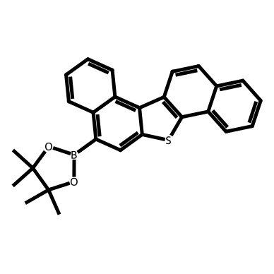 CC1(C)OB(c2cc3sc4c5ccccc5ccc4c3c3ccccc23)OC1(C)C